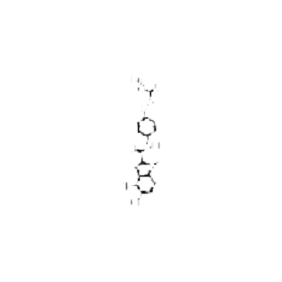 Cn1c(C(=O)Nc2ccc(SNC(=O)OC(C)(C)C)cc2)cc2c(Cl)c(Cl)ccc21